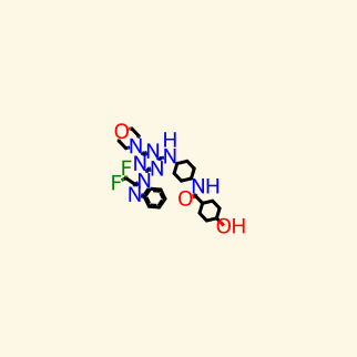 O=C(N[C@H]1CC[C@H](Nc2nc(N3CCOCC3)nc(-n3c(C(F)F)nc4ccccc43)n2)CC1)C1CCC(O)CC1